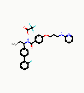 O=C(O)C(F)(F)F.O=C(O)CC(NC(=O)c1ccc(OCCCNc2ccccn2)cc1)c1ccc(-c2ccccc2F)cc1